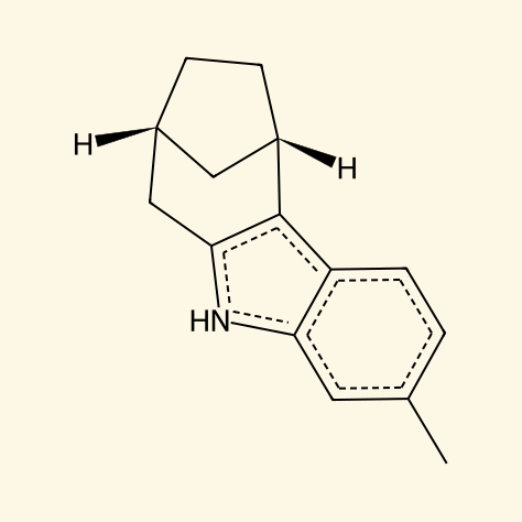 Cc1ccc2c3c([nH]c2c1)C[C@@H]1CC[C@H]3C1